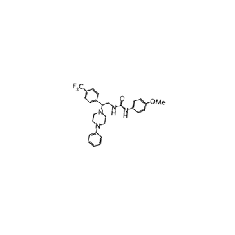 COc1ccc(NC(=O)NCC(c2ccc(C(F)(F)F)cc2)N2CCN(c3ccccc3)CC2)cc1